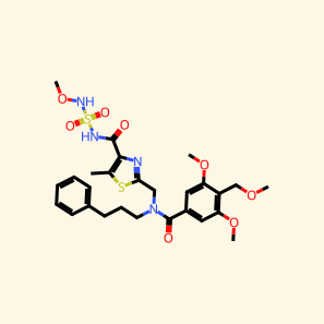 COCc1c(OC)cc(C(=O)N(CCCc2ccccc2)Cc2nc(C(=O)NS(=O)(=O)NOC)c(C)s2)cc1OC